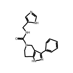 O=C(NCc1cnc[nH]1)N1CCc2[nH]nc(-c3ccccc3)c2C1